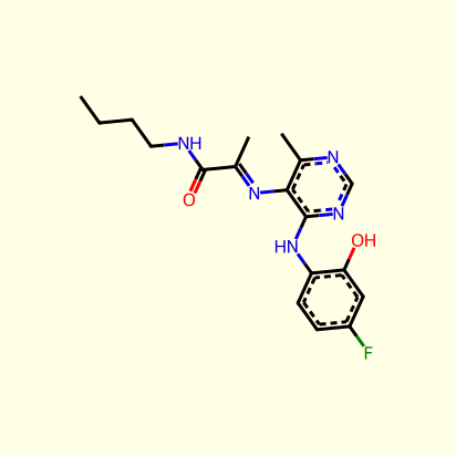 CCCCNC(=O)/C(C)=N/c1c(C)ncnc1Nc1ccc(F)cc1O